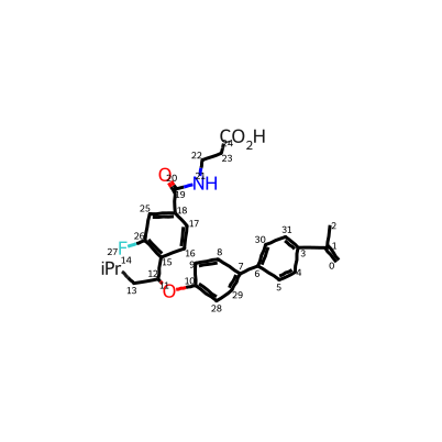 C=C(C)c1ccc(-c2ccc(OC(CC(C)C)c3ccc(C(=O)NCCC(=O)O)cc3F)cc2)cc1